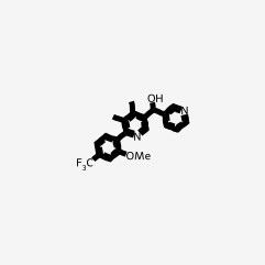 COc1cc(C(F)(F)F)ccc1-c1ncc(C(O)c2cccnc2)c(C)c1C